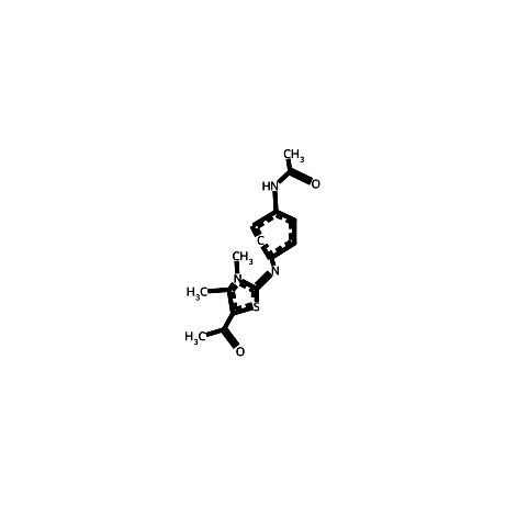 CC(=O)Nc1ccc(/N=c2/sc(C(C)=O)c(C)n2C)cc1